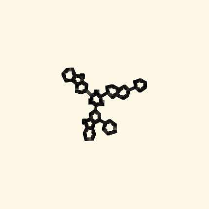 c1ccc(-c2ccc3cc(-c4nc(-c5ccc6c(c5)oc5ccccc56)nc(-c5cc(-c6ccccc6)c6c(c5)oc5ccccc56)n4)ccc3c2)cc1